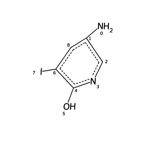 Nc1cnc(O)c(I)c1